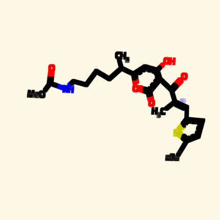 CCCCc1ccc(/C=C(\C)C(=O)c2c(O)cc(C(C)CCCCNC(=O)OC)oc2=O)s1